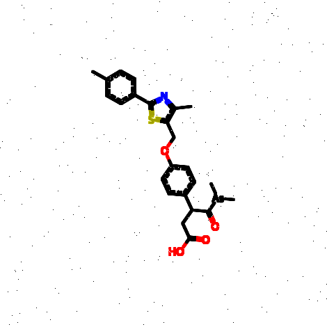 Cc1ccc(-c2nc(C)c(COc3ccc(C(CC(=O)O)C(=O)[As](C)C)cc3)s2)cc1